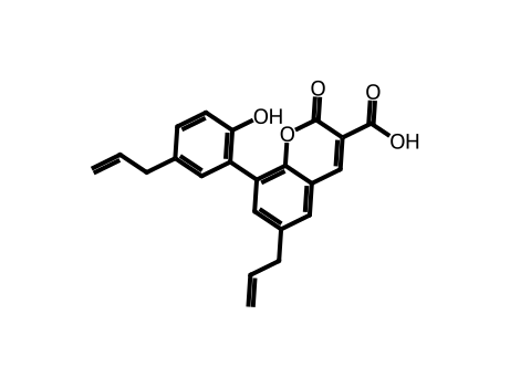 C=CCc1ccc(O)c(-c2cc(CC=C)cc3cc(C(=O)O)c(=O)oc23)c1